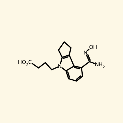 NC(=NO)c1cccc2c1c1c(n2CCCC(=O)O)CCC1